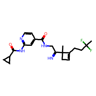 CC(F)(F)CCC1=CCC1(C)C(=N)CNC(=O)c1ccnc(NC(=O)C2CC2)c1